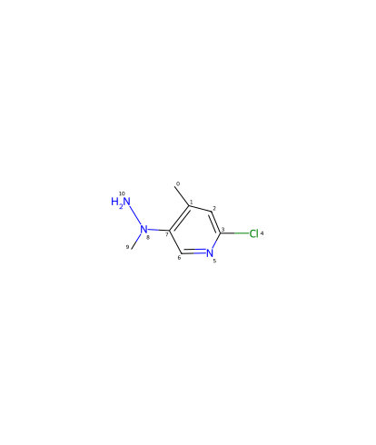 Cc1cc(Cl)ncc1N(C)N